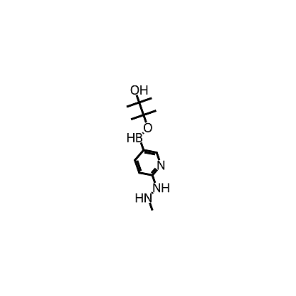 CNNc1ccc(BOC(C)(C)C(C)(C)O)cn1